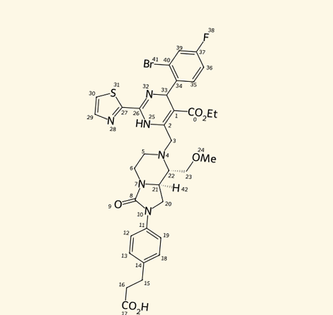 CCOC(=O)C1=C(CN2CCN3C(=O)N(c4ccc(CCC(=O)O)cc4)C[C@@H]3[C@H]2COC)NC(c2nccs2)=NC1c1ccc(F)cc1Br